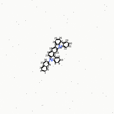 c1ccc2cc(-n3c4ccccc4c4c5cc6c(cc5ccc43)c3cccc4c5ccccc5n6c43)ccc2c1